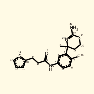 CC1(c2cc(NC(=O)CCc3cccs3)ccc2F)CCSC(N)=N1